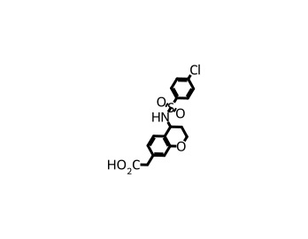 O=C(O)Cc1ccc2c(c1)OCCC2NS(=O)(=O)c1ccc(Cl)cc1